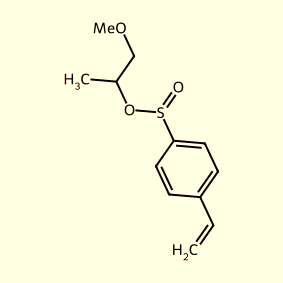 C=Cc1ccc(S(=O)OC(C)COC)cc1